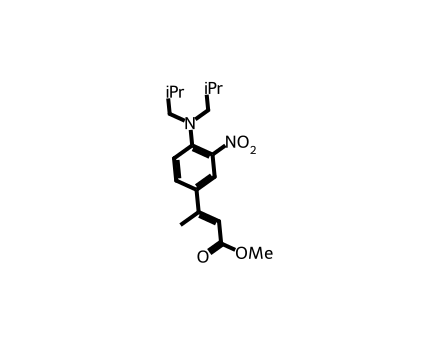 COC(=O)C=C(C)c1ccc(N(CC(C)C)CC(C)C)c([N+](=O)[O-])c1